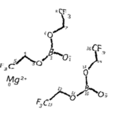 [Mg+2].[O-]B(OCC(F)(F)F)OCC(F)(F)F.[O-]B(OCC(F)(F)F)OCC(F)(F)F